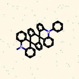 CN1c2ccccc2C2(c3ccccc31)c1ccccc1C1(c3ccccc3N(c3ccccc3)c3ccccc31)c1ccccc12